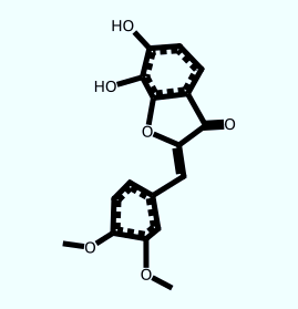 COc1ccc(C=C2Oc3c(ccc(O)c3O)C2=O)cc1OC